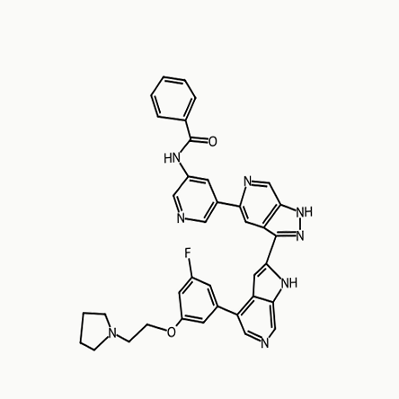 O=C(Nc1cncc(-c2cc3c(-c4cc5c(-c6cc(F)cc(OCCN7CCCC7)c6)cncc5[nH]4)n[nH]c3cn2)c1)c1ccccc1